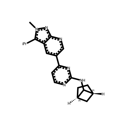 CC(C)c1c2cc(-c3ccnc(NC4[C@@H]5CC[C@@H]4C5)n3)cnc2nn1C